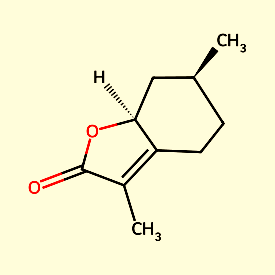 CC1=C2CC[C@H](C)C[C@@H]2OC1=O